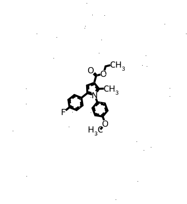 CCOC(=O)c1cc(-c2ccc(F)cc2)n(-c2ccc(OC)cc2)c1C